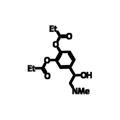 CCC(=O)Oc1ccc(C(O)CNC)cc1OC(=O)CC